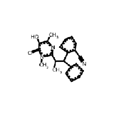 Cc1nc(C(C)C(c2ccccc2)c2ccccc2C#N)n(C)c(=O)c1O